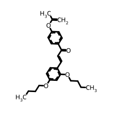 C=C(C)Oc1ccc(C(=O)C=Cc2ccc(OCCCC)cc2OCCCC)cc1